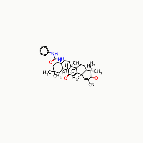 CC1(C)CC[C@]2(NC(=O)Nc3ccccc3)CC[C@]3(C)[C@H](C(=O)C=C4[C@@]5(C)C=C(C#N)C(=O)C(C)(C)[C@@H]5CC[C@]43C)[C@@H]2C1